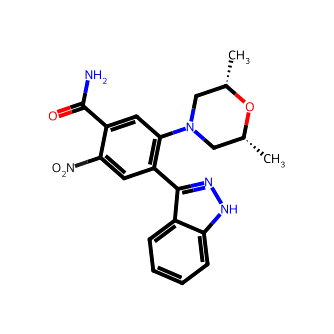 C[C@@H]1CN(c2cc(C(N)=O)c([N+](=O)[O-])cc2-c2n[nH]c3ccccc23)C[C@H](C)O1